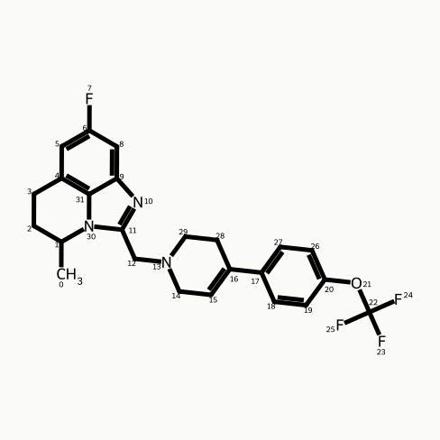 CC1CCc2cc(F)cc3nc(CN4CC=C(c5ccc(OC(F)(F)F)cc5)CC4)n1c23